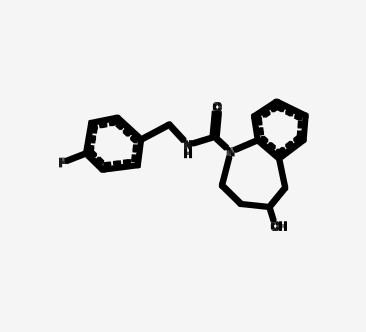 O=C(NCc1ccc(F)cc1)N1CCC(O)Cc2ccccc21